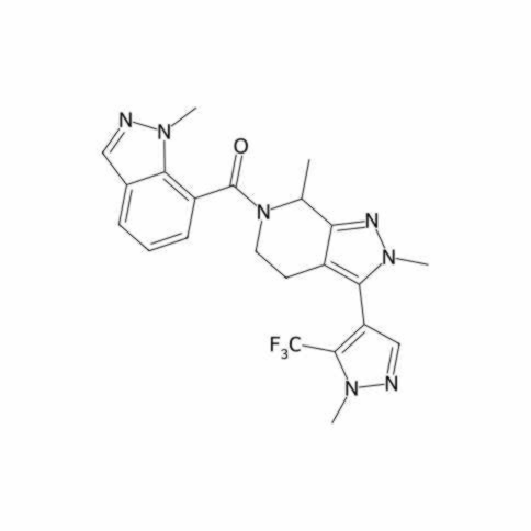 CC1c2nn(C)c(-c3cnn(C)c3C(F)(F)F)c2CCN1C(=O)c1cccc2cnn(C)c12